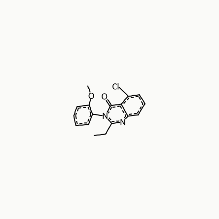 CCc1nc2cccc(Cl)c2c(=O)n1-c1ccccc1OC